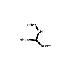 CCCCCCNC(CCCCC)CCCCCC